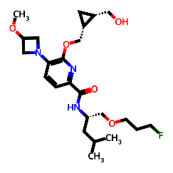 COC1CN(c2ccc(C(=O)N[C@H](COCCCF)CC(C)C)nc2OC[C@@H]2C[C@@H]2CO)C1